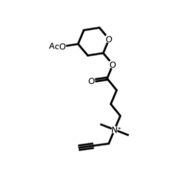 C#CC[N+](C)(C)CCCC(=O)OC1CC(OC(C)=O)CCO1